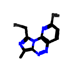 COc1ccc2nnc3c(C)nc(CC(C)C)n3c2n1